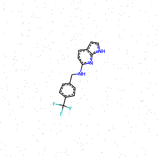 FC(F)(F)c1ccc(CNc2ccc3cc[nH]c3n2)cc1